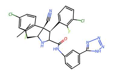 CC(C)(C)C[C@@H]1NC(C(=O)Nc2cccc(-c3nnn[nH]3)c2)[C@H](c2cccc(Cl)c2F)[C@@]1(C#N)c1ccc(Cl)cc1F